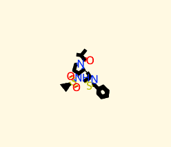 CC(C)C(=O)N1CC[C@@H](NS(=O)(=O)C2CC2)[C@H]1Cc1csc(-c2ccccc2)n1